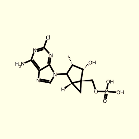 C[C@H]1C(n2cnc3c(N)nc(Cl)nc32)[C@H]2C[C@@]2(COP(=O)(O)O)[C@H]1O